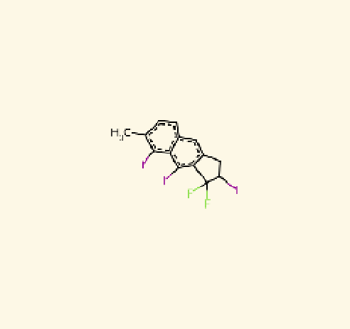 Cc1ccc2cc3c(c(I)c2c1I)C(F)(F)C(I)C3